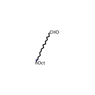 CCCCCCCC/C=C/CCCCCCCCCCCCC[C]=O